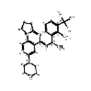 Cc1c([C@@H](C)/N=c2\nc3n(c4cnc(N5CCOCC5)cc24)CCC3)cccc1C(F)(F)F